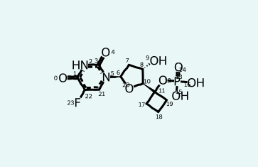 O=c1[nH]c(=O)n([C@H]2C[C@H](O)[C@@H](C3(OP(=O)(O)O)CCC3)O2)cc1F